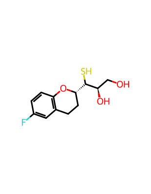 OC[C@@H](O)C(S)[C@@H]1CCc2cc(F)ccc2O1